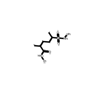 CCCNS(=O)(=O)C(C)CCC(C)C(=O)NCC